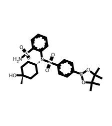 CC1(C)OB(c2ccc(S(=O)(=O)N(c3ccccc3S(N)(=O)=O)[C@H]3CC[C@@](C)(O)CC3)cc2)OC1(C)C